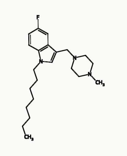 CCCCCCCCn1cc(CN2CCN(C)CC2)c2cc(F)ccc21